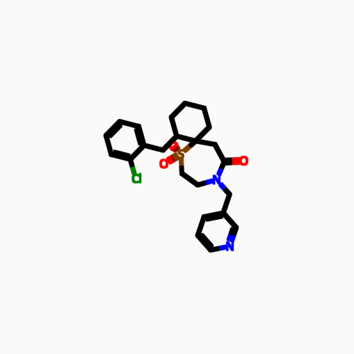 O=C1CC2(CCCCC2Cc2ccccc2Cl)S(=O)(=O)CCN1Cc1cccnc1